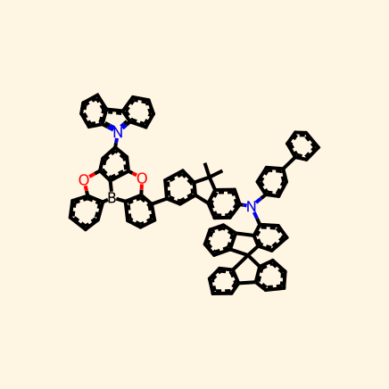 CC1(C)c2ccc(-c3cccc4c3Oc3cc(-n5c6ccccc6c6ccccc65)cc5c3B4c3ccccc3O5)cc2-c2ccc(N(c3ccc(-c4ccccc4)cc3)c3cccc4c3-c3ccccc3C43c4ccccc4-c4ccccc43)cc21